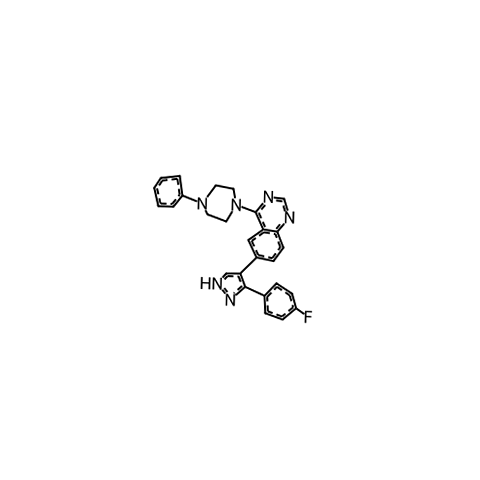 Fc1ccc(-c2n[nH]cc2-c2ccc3ncnc(N4CCN(c5ccccc5)CC4)c3c2)cc1